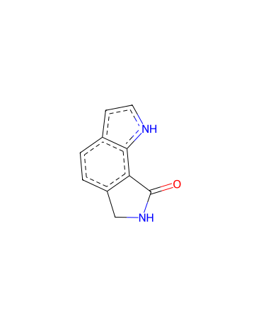 O=C1NCc2ccc3cc[nH]c3c21